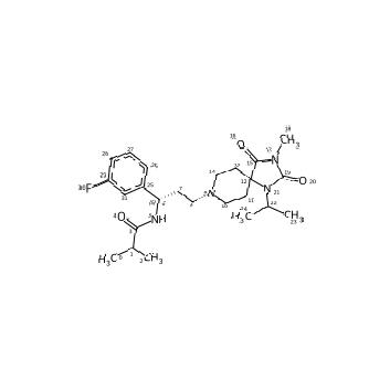 CC(C)C(=O)N[C@@H](CCN1CCC2(CC1)C(=O)N(C)C(=O)N2C(C)C)c1cccc(F)c1